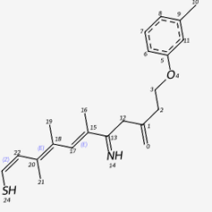 C=C(CCOc1cccc(C)c1)CC(=N)/C(C)=C/C(C)=C(C)/C=C\S